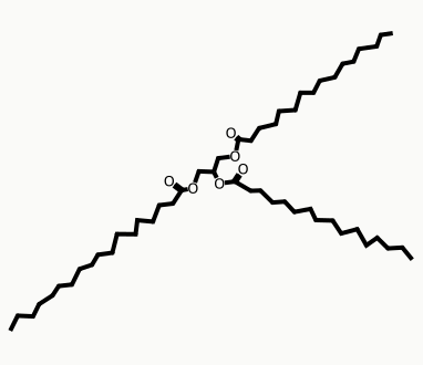 CCCCCCCCCCCCCCCCCC(=O)OCC(COC(=O)CCCCCCCCCCCCCCC)OC(=O)CCCCCCCCCCCCCCC